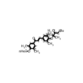 CCCCCCOc1c(C)cc(C(=O)/C=C/c2cc(C)c(OC(C)(C)C(=O)CC(C)(C)C)c(C)c2)cc1C